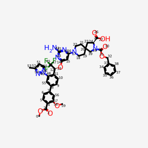 COC(=O)c1ccc(-c2ccc([C@@H](Oc3cc(N4CCC5(CC4)C[C@@H](C(=O)O)N(C(=O)OCc4ccccc4)C5)nc(N)n3)C(F)(F)F)c(-n3ccc(C)n3)c2)cc1OC